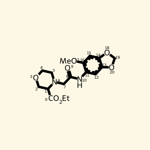 CCOC(=O)C1COCCN1CC(=O)Nc1cc2c(cc1OC)OCO2